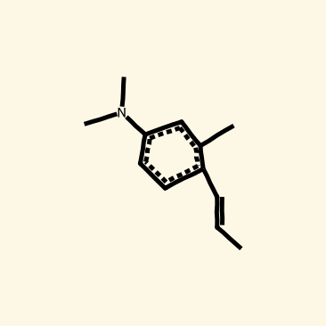 CC=Cc1ccc(N(C)C)cc1C